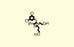 CC(C)c1nc(CCCO)n(CCO)c1Sc1cc(Cl)cc(Cl)c1